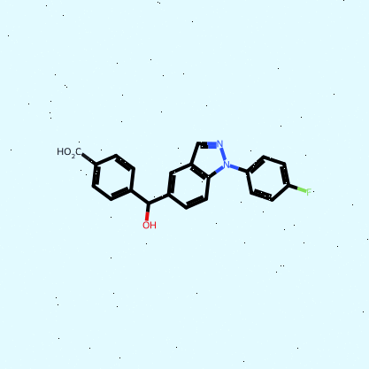 O=C(O)c1ccc(C(O)c2ccc3c(cnn3-c3ccc(F)cc3)c2)cc1